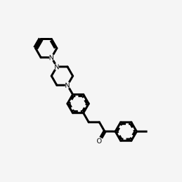 Cc1ccc(C(=O)CCc2ccc(N3CCN(N4C=CC#CC4)CC3)cc2)cc1